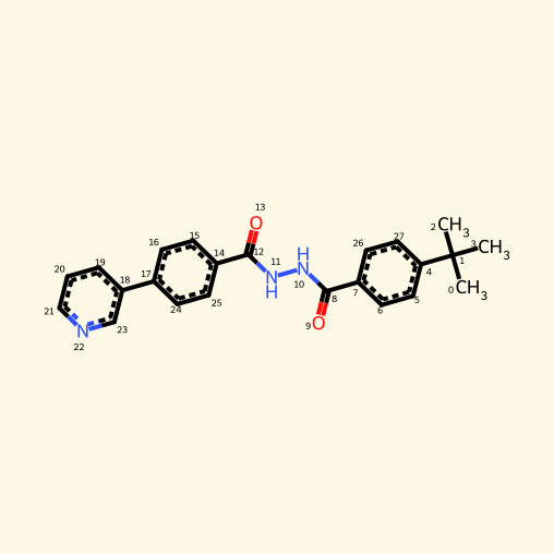 CC(C)(C)c1ccc(C(=O)NNC(=O)c2ccc(-c3cccnc3)cc2)cc1